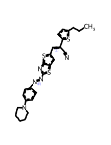 CCCc1ccc(/C(C#N)=C/c2cc3sc(/N=N/c4ccc(N5CCCCC5)cc4)nc3s2)s1